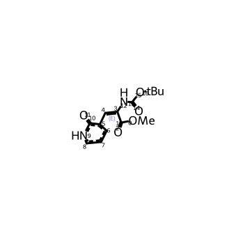 COC(=O)/C(=C\c1ccc[nH]c1=O)NC(=O)OC(C)(C)C